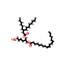 CCCCC/C=C\C/C=C\CCCCCCCC(=O)OCC(CCCCO)COC(=O)CC(CCCCCC)CCCCCCCC